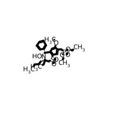 CCCC[C@]1(CC)CS(=O)(=O)c2cc(CP(=O)(OCC)OCC)c(OC)cc2[C@@H](c2ccccc2)N1O